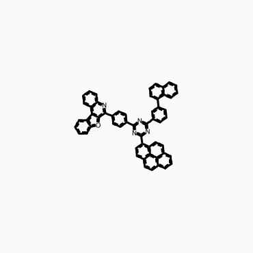 c1cc(-c2nc(-c3ccc(-c4nc5ccccc5c5c4oc4ccccc45)cc3)nc(-c3ccc4ccc5cccc6ccc3c4c56)n2)cc(-c2cccc3ccccc23)c1